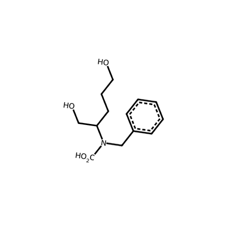 O=C(O)N(Cc1ccccc1)C(CO)CCCO